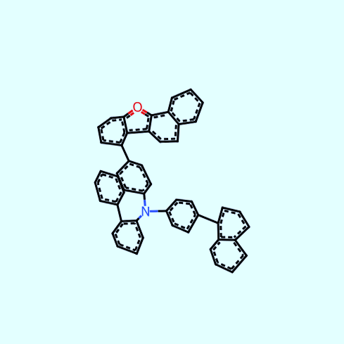 c1ccc(-c2ccccc2N(c2ccc(-c3cccc4ccccc34)cc2)c2ccc(-c3cccc4oc5c6ccccc6ccc5c34)cc2)cc1